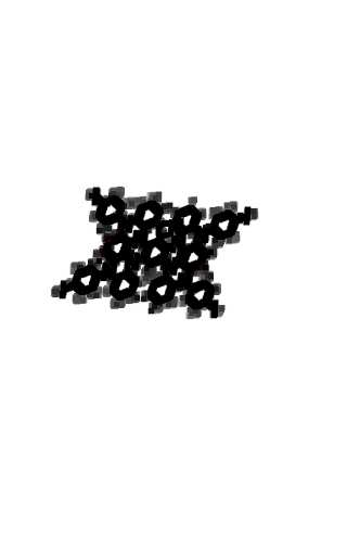 N#Cc1c(N2c3ccccc3N(c3ccc(I)cc3)c3ccccc32)c(N2c3ccccc3N(c3ccc(I)cc3)c3ccccc32)cc(N2c3ccccc3N(c3ccc(I)cc3)c3ccccc32)c1N1c2ccccc2N(c2ccc(I)cc2)c2ccccc21